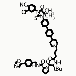 CC(C)(C)C(NC(=O)CCCN1CCC(c2ccc(-c3ccc(N4C(=S)N(c5ccc(C#N)c(Cl)c5)C(=O)C4(C)C)cc3)cc2)CC1)C(=O)N1CCC[C@H]1C(=O)NCc1ccc(-c2cnco2)cc1